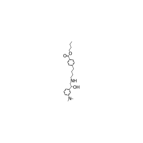 CCCCOC(=O)c1ccc(CCCCNCC(O)c2cccc(N(C)C)c2)cc1